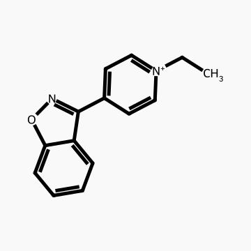 CC[n+]1ccc(-c2noc3ccccc23)cc1